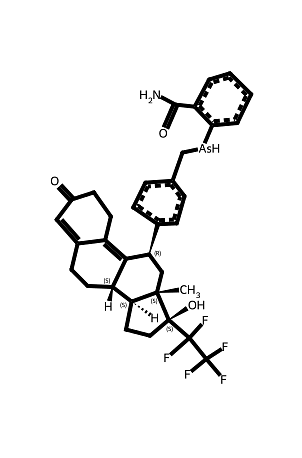 C[C@]12C[C@H](c3ccc(C[AsH]c4ccccc4C(N)=O)cc3)C3=C4CCC(=O)C=C4CC[C@H]3[C@@H]1CC[C@@]2(O)C(F)(F)C(F)(F)F